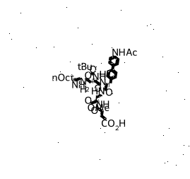 CCCCCCCC[C@H](N)CNCC[C@H](NC(=O)OC(C)(C)C)C(=O)N[C@H](Cc1ccc(-c2ccc(NC(C)=O)cc2)cc1)C(=O)NCC[C@@H](NC(=O)CCCC(=O)O)C(=O)OC